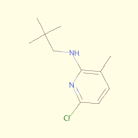 Cc1ccc(Cl)nc1NCC(C)(C)C